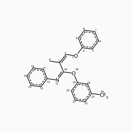 CC(=COc1ccccc1)C(=Nc1ccccc1)Oc1cccc(C(F)(F)F)c1